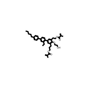 C=C(C)C(=O)OCCCc1cc(-c2ccc(-c3ccc(CCCCC)cc3)cc2CC)cc(CCOC(=O)C(=C)C)c1OCCO